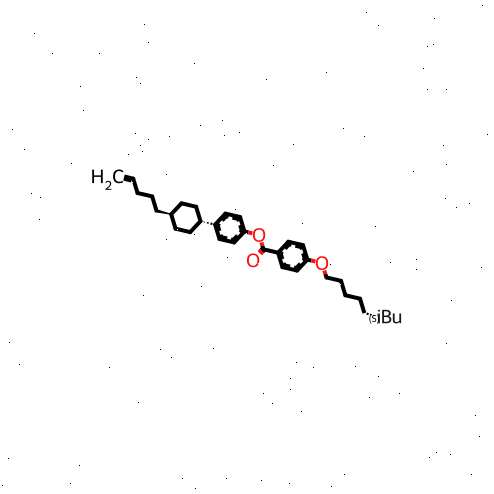 C=CCCC[C@H]1CC[C@H](c2ccc(OC(=O)c3ccc(OCCCCC[C@@H](C)CC)cc3)cc2)CC1